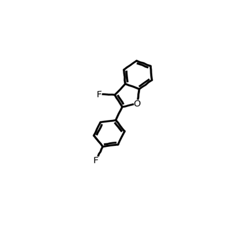 Fc1ccc(-c2oc3ccccc3c2F)cc1